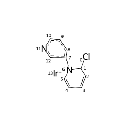 ClC1C=CC=CN1c1cccnc1.[Ir+]